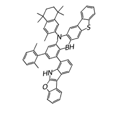 Cc1cc2c(cc1N1c3cc4c(cc3Bc3c(-c5cccc6c5[nH]c5oc7ccccc7c56)cc(-c5c(C)cccc5C)cc31)sc1ccccc14)C(C)(C)CCC2(C)C